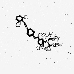 COc1ccc(C(Cc2ccc(C#Cc3c(Cl)cccc3Cl)cc2)C(=O)O)cc1N(CC(C)C)C(=O)C(C)(C)C